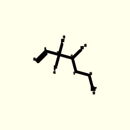 C=CC(F)(F)C(F)CCBr